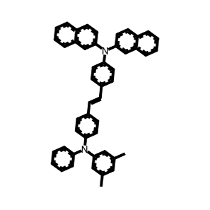 Cc1cc(C)cc(N(c2ccccc2)c2ccc(/C=C/c3ccc(N(c4ccc5ccccc5c4)c4ccc5ccccc5c4)cc3)cc2)c1